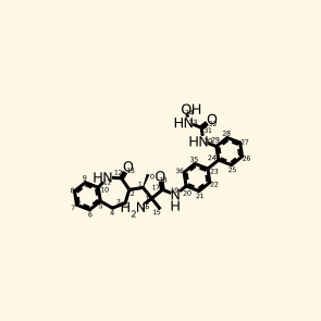 C[C@H](C1CCc2ccccc2NC1=O)C(C)(N)C(=O)Nc1ccc(-c2ccccc2NC(=O)NO)cc1